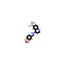 C[S+]([O-])c1ccc2nccc(NCc3ccc4c(c3)OCO4)c2c1